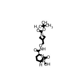 CC(C)(C)OC(=O)N1CC(CONC(=O)[C@@H]2CC[C@@H]3CN2C(=O)N3O)C1